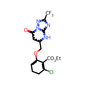 CCOC(=O)C1=C(Cl)CCC=C1OCc1cc(=O)n2nc(C(F)(F)F)nc2[nH]1